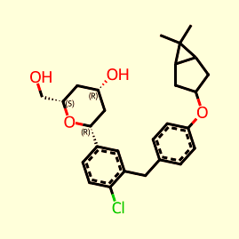 CC1(C)C2CC(Oc3ccc(Cc4cc([C@H]5C[C@@H](O)C[C@@H](CO)O5)ccc4Cl)cc3)CC21